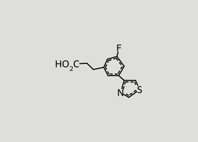 O=C(O)CCc1cc(F)cc(-c2cscn2)c1